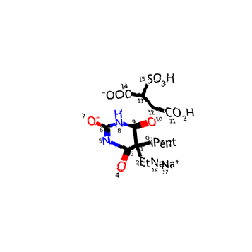 CCCC(C)C1(CC)C(=O)N=C([O-])NC1=O.O=C(O)CC(C(=O)[O-])S(=O)(=O)O.[Na+].[Na+]